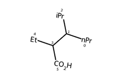 CCCC(C(C)C)C(CC)C(=O)O